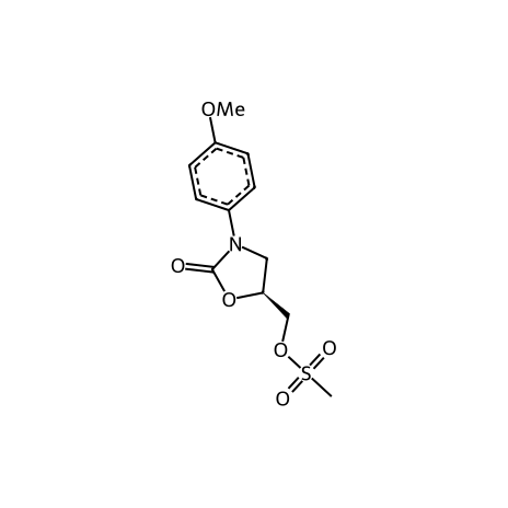 COc1ccc(N2C[C@@H](COS(C)(=O)=O)OC2=O)cc1